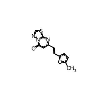 Cc1ccc(/C=C/c2cc(=O)n3ncsc3n2)o1